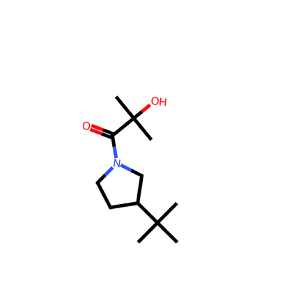 CC(C)(O)C(=O)N1CCC(C(C)(C)C)C1